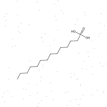 CCCCCCCCCCCCCP(=O)(O)O